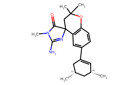 C[C@@H]1CC(c2ccc3c(c2)C2(CC(C)(C)O3)N=C(N)N(C)C2=O)=C[C@H](C)C1